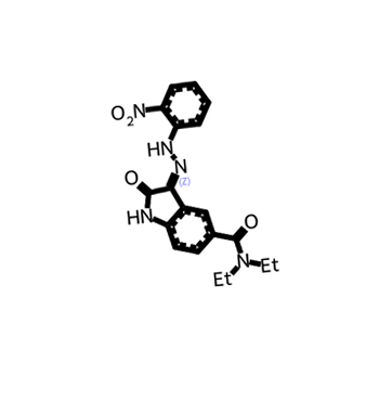 CCN(CC)C(=O)c1ccc2c(c1)/C(=N/Nc1ccccc1[N+](=O)[O-])C(=O)N2